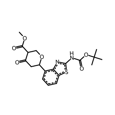 COC(=O)C1COC(c2cccc3sc(NC(=O)OC(C)(C)C)nc23)CC1=O